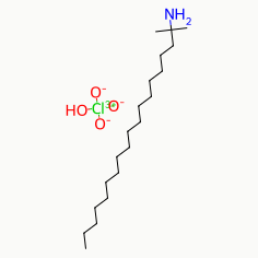 CCCCCCCCCCCCCCCCCC(C)(C)N.[O-][Cl+3]([O-])([O-])O